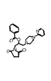 O=C(OC(CN1CCN(c2ccccn2)CC1)CN1C(=O)CCC1=O)c1ccccc1